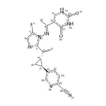 C=C(c1ncc(F)n1/N=C(\C)c1c[nH]c(=O)[nH]c1=O)[C@H]1C[C@@H]1c1ccc(C#N)nc1